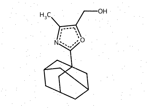 Cc1nc(C23CC4CC(CC(C4)C2)C3)oc1CO